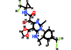 Cc1nc(N[C@H](C)c2cccc(C(F)F)c2C)c(C2OCCO2)c(C(Br)C(=O)NC2(C(F)F)CC2)n1